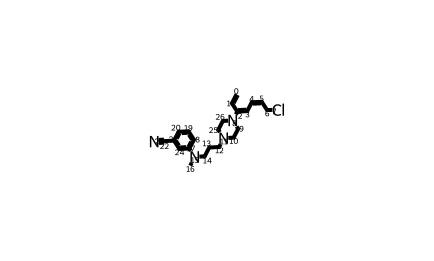 C=C/C(=C\C=C/CCl)N1CCN(CCCN(C)c2cccc(C#N)c2)CC1